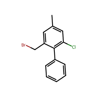 Cc1cc(Cl)c(-c2ccccc2)c(CBr)c1